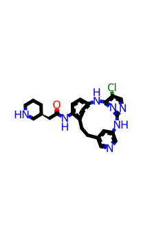 O=C(C[C@@H]1CCCNC1)Nc1ccc2cc1CCc1cncc(c1)Nc1ncc(Cl)c(n1)N2